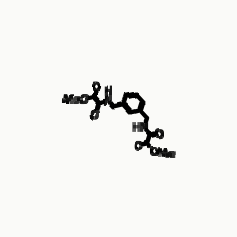 COC(=O)C(=O)NCc1cccc(CNC(=O)C(=O)OC)c1